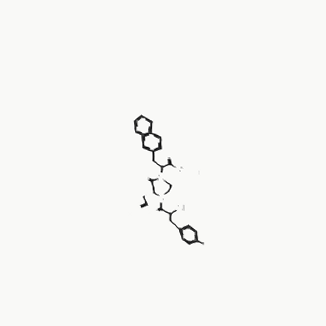 C=CC[C@H]1C(=O)N(C(Cc2ccc3ccccc3c2)C(=O)NC)CCN1C(=O)C(N)Cc1ccc(F)cc1